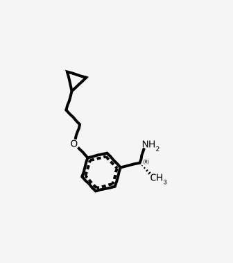 C[C@@H](N)c1cccc(OCCC2CC2)c1